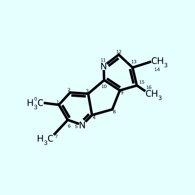 Cc1cc2c(nc1C)Cc1c-2ncc(C)c1C